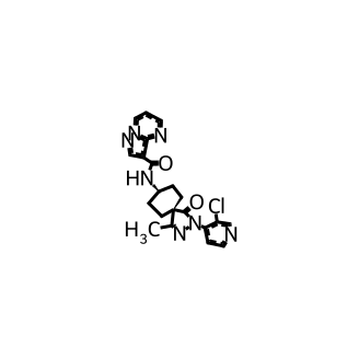 CC1=NN(c2ccncc2Cl)C(=O)[C@]12CC[C@H](NC(=O)c1cnn3cccnc13)CC2